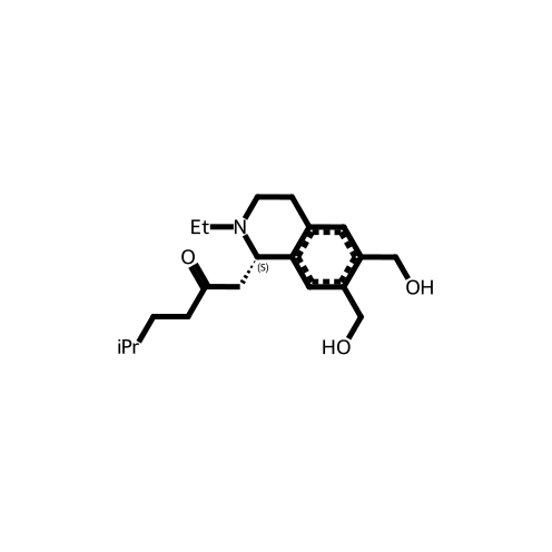 CCN1CCc2cc(CO)c(CO)cc2[C@@H]1CC(=O)CCC(C)C